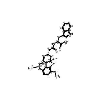 COc1ccc2c3c1O[C@H]1C[C@@H](OC(=O)N[C@@H](Cc4c[nH]c5ccccc45)C(=O)O)C=C[C@@]31CCN(C)C2